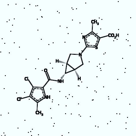 Cc1nc(N2C[C@@H]3[C@H](C2)[C@H]3NC(=O)c2[nH]c(C)c(Cl)c2Cl)sc1C(=O)O